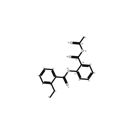 CCc1ccccc1C(=O)Oc1ccccc1C(=O)OC(C)=O